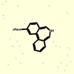 CCCCCc1ccc2c(c1)=c1ccccc1=CNC=2